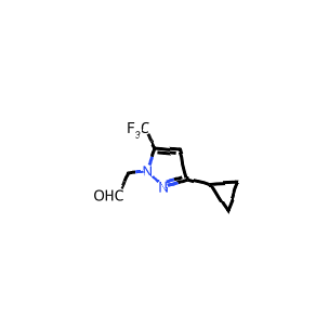 O=CCn1nc(C2CC2)cc1C(F)(F)F